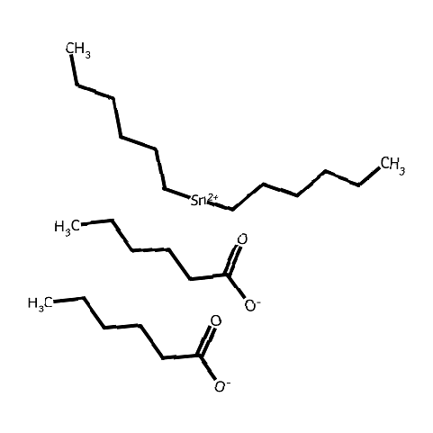 CCCCCC(=O)[O-].CCCCCC(=O)[O-].CCCCC[CH2][Sn+2][CH2]CCCCC